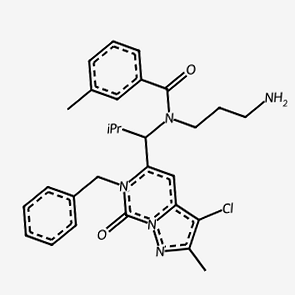 Cc1cccc(C(=O)N(CCCN)C(c2cc3c(Cl)c(C)nn3c(=O)n2Cc2ccccc2)C(C)C)c1